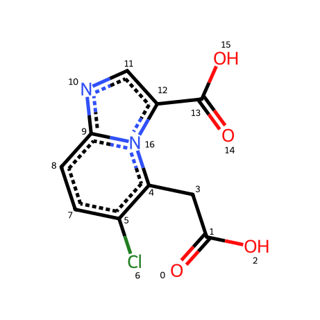 O=C(O)Cc1c(Cl)ccc2ncc(C(=O)O)n12